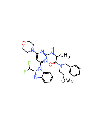 COCCN(Cc1ccccc1)C(=O)[C@H](C)Nc1nc(N2CCOCC2)cc(-n2c(C(F)F)nc3ccccc32)n1